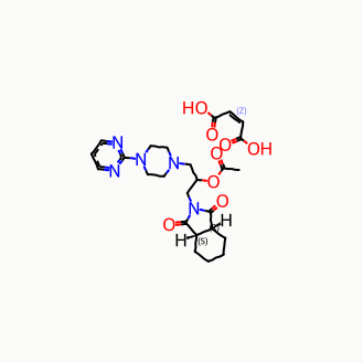 CC(=O)OC(CN1CCN(c2ncccn2)CC1)CN1C(=O)[C@H]2CCCC[C@H]2C1=O.O=C(O)/C=C\C(=O)O